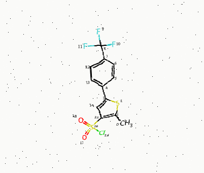 Cc1sc(-c2ccc(C(F)(F)F)cc2)cc1S(=O)(=O)Cl